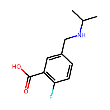 CC(C)NCc1ccc(F)c(C(=O)O)c1